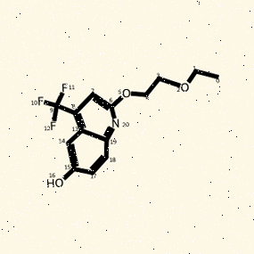 CCOCCOc1cc(C(F)(F)F)c2cc(O)ccc2n1